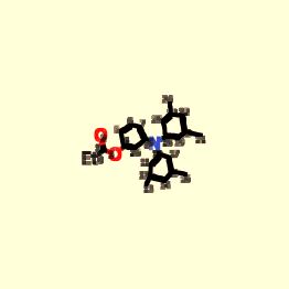 CCC(=O)Oc1cccc(N(c2cc(C)cc(C)c2)c2cc(C)cc(C)c2)c1